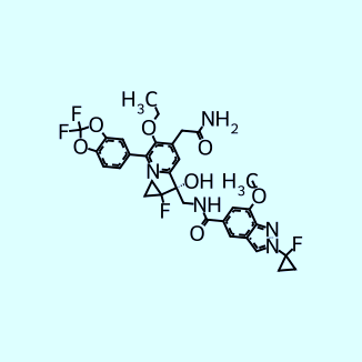 CCOc1c(CC(N)=O)cc([C@@](O)(CNC(=O)c2cc(OC)c3nn(C4(F)CC4)cc3c2)C2(F)CC2)nc1-c1ccc2c(c1)OC(F)(F)O2